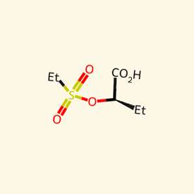 CC[C@@H](OS(=O)(=O)CC)C(=O)O